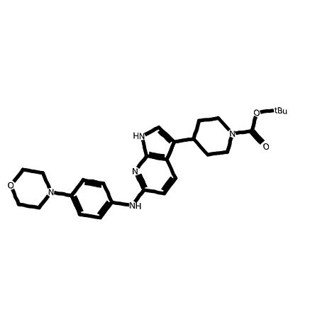 CC(C)(C)OC(=O)N1CCC(c2c[nH]c3nc(Nc4ccc(N5CCOCC5)cc4)ccc23)CC1